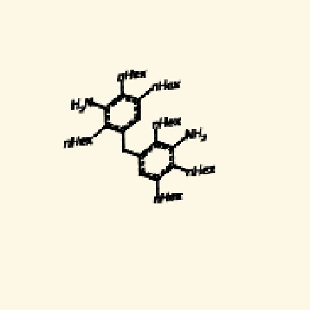 CCCCCCc1cc(Cc2cc(CCCCCC)c(CCCCCC)c(N)c2CCCCCC)c(CCCCCC)c(N)c1CCCCCC